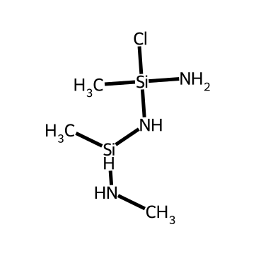 CN[SiH](C)N[Si](C)(N)Cl